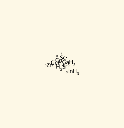 [Co].[GaH3].[GeH4].[InH3].[Sc].[SrH2].[Zr]